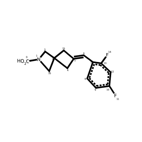 O=C(O)N1CC2(CC(=Cc3ccc(F)cc3F)C2)C1